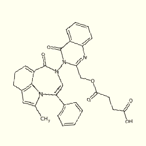 Cc1cc2c3n1C(c1ccccc1)=CN(n1c(COC(=O)CCC(=O)O)nc4ccccc4c1=O)C(=O)C3=CCC2